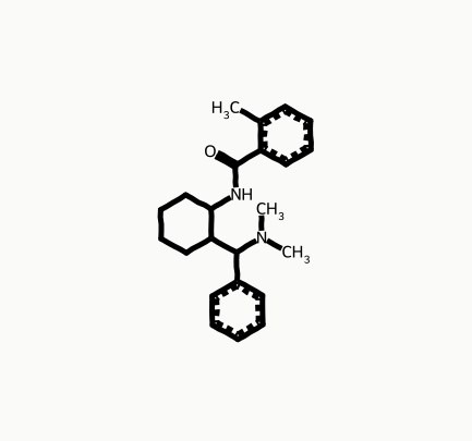 Cc1ccccc1C(=O)NC1CCCCC1C(c1ccccc1)N(C)C